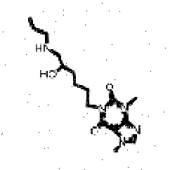 CCCNCC(O)CCCCn1c(=O)c2c(ncn2C)n(C)c1=O